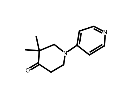 CC1(C)CN(c2ccncc2)CCC1=O